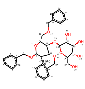 CC(=O)N[C@H]1[C@@H](OCc2ccccc2)O[C@H](COCc2ccccc2)[C@@H](O[C@@H]2O[C@@H](CO)[C@@H](O)[C@H](O)[C@H]2O)[C@@H]1OCc1ccccc1